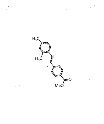 COC(=O)c1ccc(C=Nc2ccc(C)cc2C)cc1